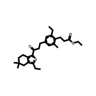 CCOC(=O)CCc1c(C)cc(CCC(=O)c2sc(CC)c3c2CCC(C)(C)C3)cc1CC